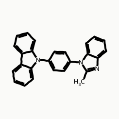 Cc1nc2ccccc2n1-c1ccc(-n2c3ccccc3c3ccccc32)cc1